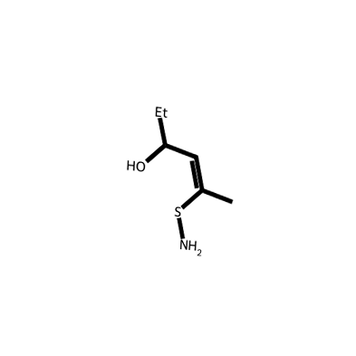 CCC(O)/C=C(/C)SN